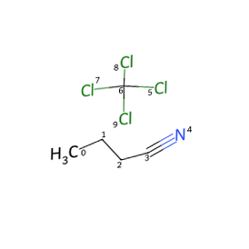 CCCC#N.ClC(Cl)(Cl)Cl